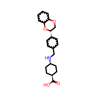 O=C(O)[C@H]1CC[C@@H](NCc2ccc([C@H]3COc4ccccc4O3)cc2)CC1